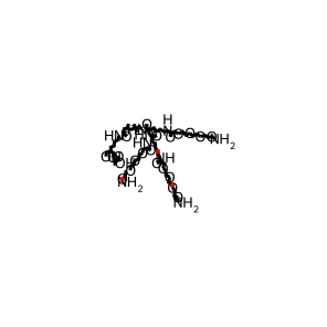 CC(CC(=O)NCCCCC(CO)COP(C)(=O)O)CC(C)(C)CNC(=O)C(CCCCNC(=O)COCCOCCOCCON)NC(=O)C(CCCCNC(=O)COCCOCCOCCON)NC(=O)COCCOCCOCCON